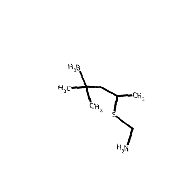 BC(C)(C)CC(C)SCN